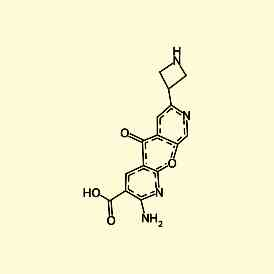 Nc1nc2oc3cnc(C4CNC4)cc3c(=O)c2cc1C(=O)O